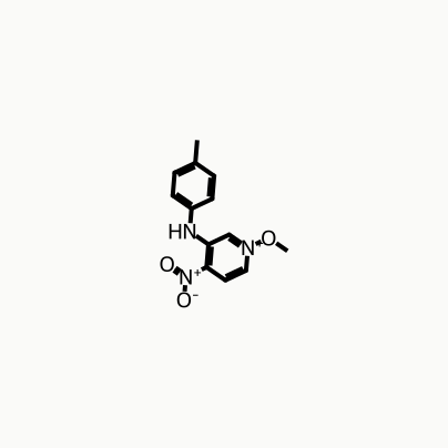 CO[n+]1ccc([N+](=O)[O-])c(Nc2ccc(C)cc2)c1